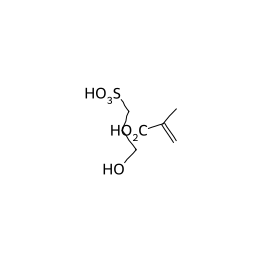 C=C(C)C(=O)O.O=S(=O)(O)CCCO